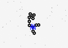 c1cc(-c2ccc(-c3cccc4c3-c3ccccc3C43c4ccccc4-c4ccccc43)cc2)cc(-c2nc(-c3ccc4ccccc4c3)nc(-c3ccc4ccccc4c3)n2)c1